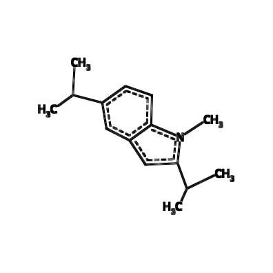 CC(C)c1ccc2c(c1)cc(C(C)C)n2C